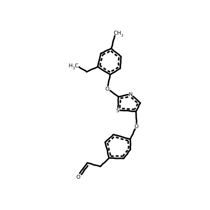 CCc1cc(C)ccc1Oc1ncc(Oc2ccc(CC=O)cc2)s1